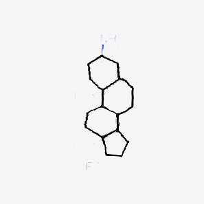 CC[C@H]1CCC2C3CCC4C[C@H](N)CC[C@]4(C)C3CC[C@@]21C